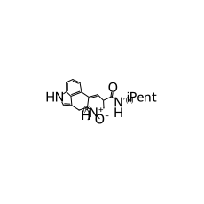 CCC[C@@H](C)NC(=O)C1C=C2c3cccc4[nH]cc(c34)C[C@H]2[N+](C)([O-])C1